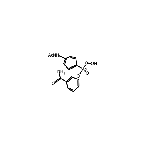 CC(=O)Nc1ccc([As](=O)(O)OO)cc1.NC(=O)c1ccccc1